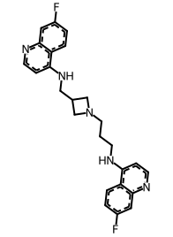 Fc1ccc2c(NCCCN3CC(CNc4ccnc5cc(F)ccc45)C3)ccnc2c1